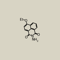 CCOc1ccc2c3c(cccc13)C(=O)N(N)C2=O